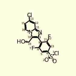 O=S(=O)(Cl)c1cc(F)c(-c2nc3cc(Cl)ccn3c2CO)c(F)c1